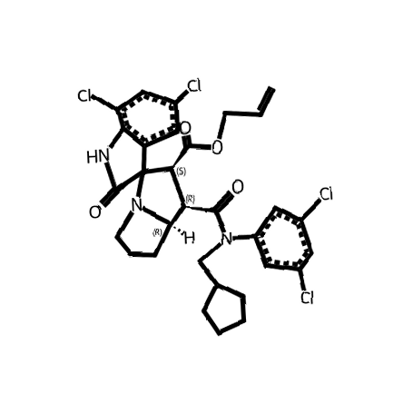 C=CCOC(=O)[C@H]1[C@@H](C(=O)N(CC2CCCC2)c2cc(Cl)cc(Cl)c2)[C@H]2CCCN2C12C(=O)Nc1c(Cl)cc(Cl)cc12